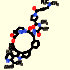 CCn1c(-c2cccnc2[C@H](C)OC)c2c3cc(ccc31)-c1cccc(c1)C[C@H](NC(=O)C(C(C)C)N(C)C(=O)[C@H]1CCN(C(=O)C#CCN(C)C)C1)C(=O)N1CCC[C@H](N1)C(=O)OCC(C)(C)C2